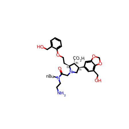 CCCCN(CCN)C(=O)CN1C[C@H](c2cc(CO)c3c(c2)OCO3)[C@@H](C(=O)O)[C@@H]1CCOc1ccccc1CO